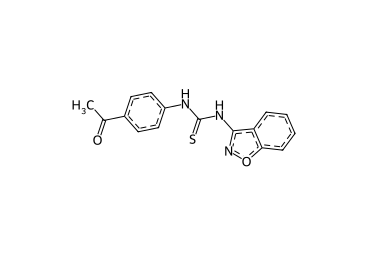 CC(=O)c1ccc(NC(=S)Nc2noc3ccccc23)cc1